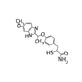 COc1ccc2nc(C(C)Oc3ccc(CC(S)C(N)=O)cc3)[nH]c2c1